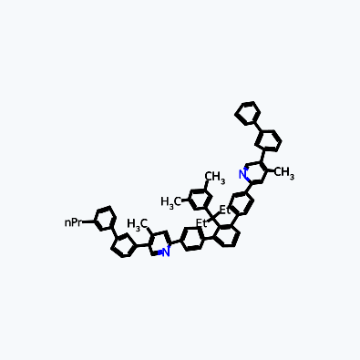 CCCc1cccc(-c2cccc(-c3cnc(-c4ccc(-c5cccc(-c6ccc(-c7cc(C)c(-c8cccc(-c9ccccc9)c8)cn7)cc6)c5C(CC)(CC)c5cc(C)cc(C)c5)cc4)cc3C)c2)c1